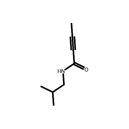 CC#CC(=O)NCC(C)C